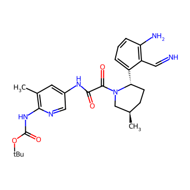 Cc1cc(NC(=O)C(=O)N2C[C@H](C)CC[C@H]2c2cccc(N)c2C=N)cnc1NC(=O)OC(C)(C)C